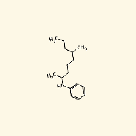 CCCC(C)CCCC(C)Nc1ccccc1